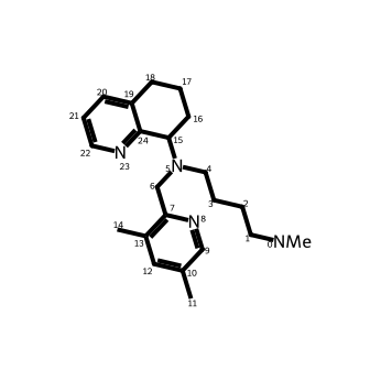 CNCCCCN(Cc1ncc(C)cc1C)C1CCCc2cccnc21